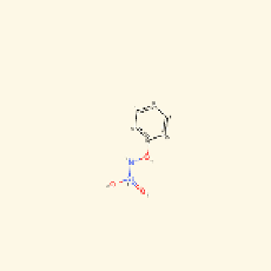 O=[N+]([O-])[N-]Oc1ccccc1